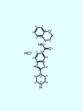 Cl.O=C(N[C@H]1CCOc2ccccc21)c1ccc2nc(N3CCNCC3)sc2c1